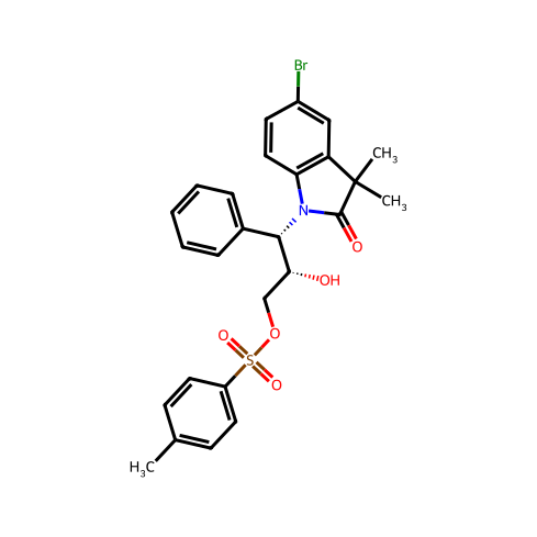 Cc1ccc(S(=O)(=O)OC[C@@H](O)[C@H](c2ccccc2)N2C(=O)C(C)(C)c3cc(Br)ccc32)cc1